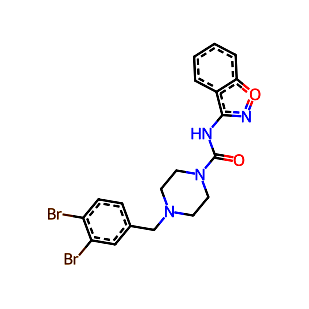 O=C(Nc1noc2ccccc12)N1CCN(Cc2ccc(Br)c(Br)c2)CC1